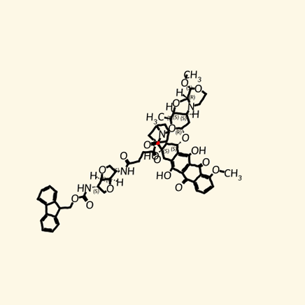 COc1cccc2c1C(=O)c1c(O)c3c(c(O)c1C2=O)C[C@@](O)(C(=O)N1C2CC1CN(C(=O)CCC(=O)N[C@H]1CO[C@H]4[C@@H]1OC[C@@H]4NC(=O)OCC1c4ccccc4-c4ccccc41)C2)C[C@@H]3O[C@H]1C[C@H]2[C@H](O[C@@H]3[C@@H](OC)OCCN32)[C@H](C)O1